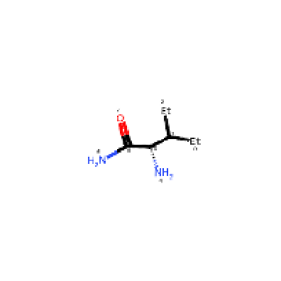 CCC(CC)[C@H](N)C(N)=O